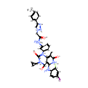 Cc1c(=O)[nH]c(Nc2ccc(I)cc2F)c2c(=O)n(C3CC3)c(=O)n(-c3cccc(NC(=O)Cn4cc(-c5ccc(C(F)(F)F)cc5)nn4)c3)c12